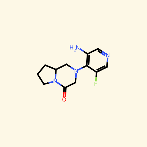 Nc1cncc(F)c1N1CC(=O)N2CCCC2C1